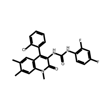 Cc1cc2c(-c3ccccc3Cl)c(NC(=O)Nc3ccc(F)cc3F)c(=O)n(C)c2cc1C